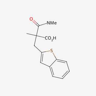 CNC(=O)C(C)(Cc1cc2ccccc2s1)C(=O)O